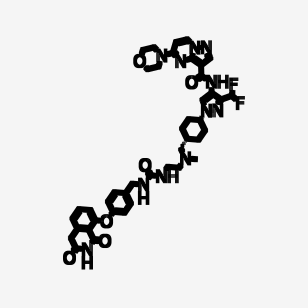 CN(CCNC(=O)NCc1ccc(Oc2cccc3c2C(=O)NC(=O)C3)cc1)C[C@H]1CC[C@H](n2cc(NC(=O)c3cnn4ccc(N5CCOCC5)nc34)c(C(F)F)n2)CC1